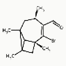 C[C@@H]1CC2(C)C3C2(C)C[C@@]3(C)C(Br)=C1C=O